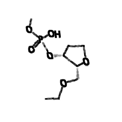 CCOC[C@H]1OCC[C@H]1OP(=O)(O)OC